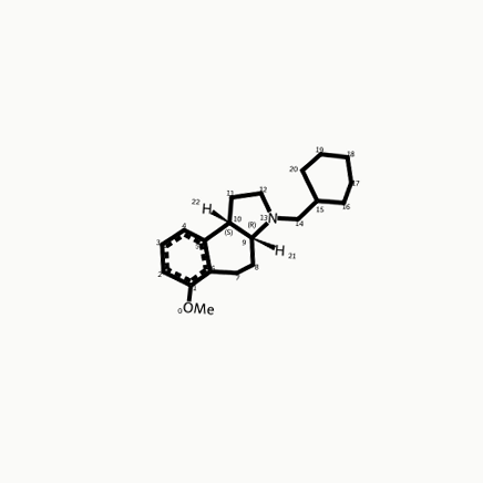 COc1cccc2c1CC[C@@H]1[C@H]2CCN1CC1CCCCC1